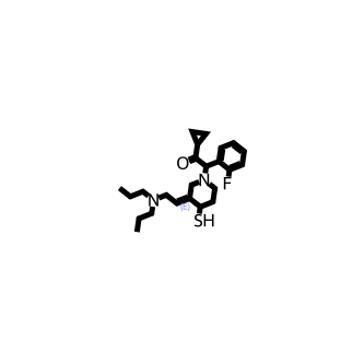 CCCN(C/C=C1\CN(C(C(=O)C2CC2)c2ccccc2F)CCC1S)CCC